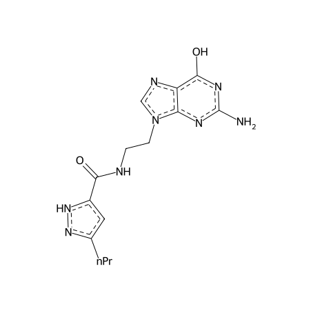 CCCc1cc(C(=O)NCCn2cnc3c(O)nc(N)nc32)[nH]n1